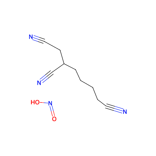 N#CCCCCC(C#N)CC#N.O=NO